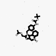 CC(=O)OCc1nc2c[n+]([O-])c3ccccc3c2n1Cc1ccc(NC(=O)OC(C)(C)C)cc1